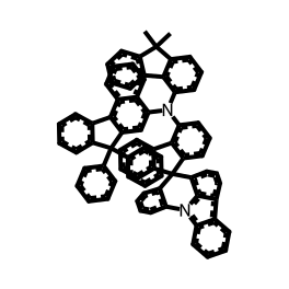 CC1(C)c2ccccc2-c2c(N(c3cccc4c3-c3ccccc3C43c4ccccc4-n4c5ccccc5c5cccc3c54)c3cc4c(c5ccccc35)-c3ccccc3C4(c3ccccc3)c3ccccc3)cccc21